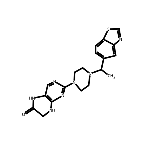 CC(c1ccc2scnc2c1)N1CCN(c2ncc3c(n2)NCC(=O)N3)CC1